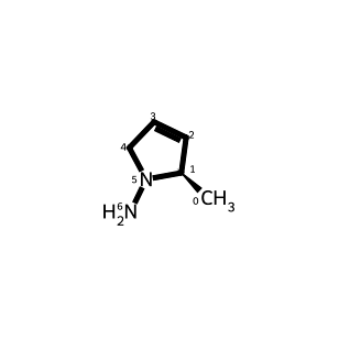 C[C@@H]1C=CCN1N